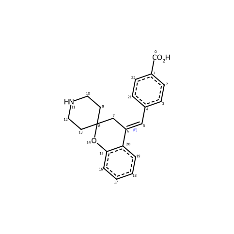 O=C(O)c1ccc(/C=C2\CC3(CCNCC3)Oc3ccccc32)cc1